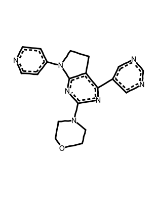 c1cc(N2CCc3c(-c4cncnc4)nc(N4CCOCC4)nc32)ccn1